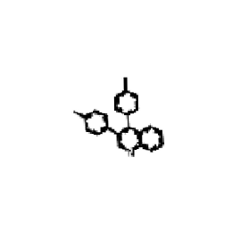 Cc1ccc(-c2cnc3ccccc3c2-c2ccc(C)cc2)cc1